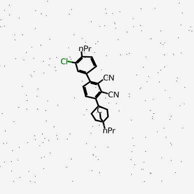 CCCc1ccc(-c2ccc(C34CCC(CCC)(CC3)CC4)c(C#N)c2C#N)cc1Cl